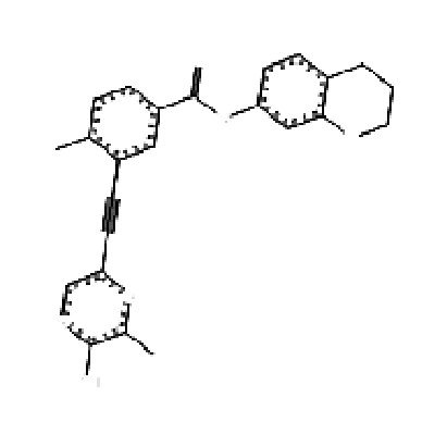 Cc1ccc(C(=O)Nc2ccc3c(c2)OCCC3)cc1C#Cc1cnc(N)c(C)n1